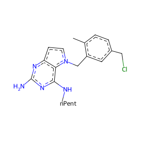 CCCCCNc1nc(N)nc2ccn(Cc3cc(CCl)ccc3C)c12